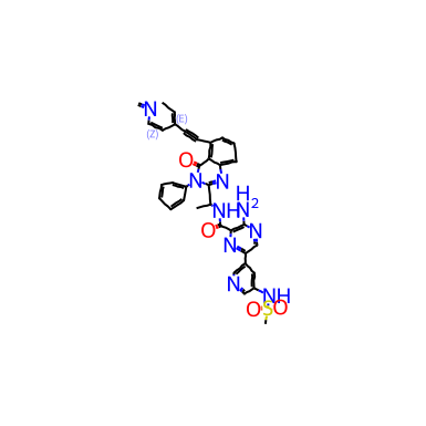 C=N/C=C\C(C#Cc1cccc2nc(C(C)NC(=O)c3nc(-c4cncc(NS(C)(=O)=O)c4)cnc3N)n(-c3ccccc3)c(=O)c12)=C/C